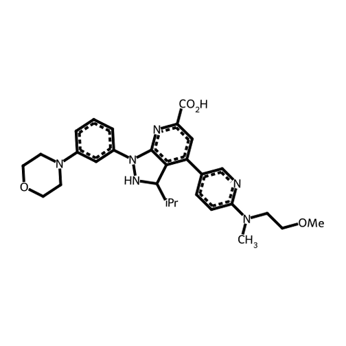 COCCN(C)c1ccc(-c2cc(C(=O)O)nc3c2C(C(C)C)NN3c2cccc(N3CCOCC3)c2)cn1